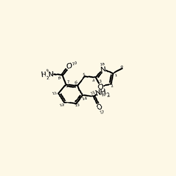 Cc1coc(Cc2c(C(N)=O)cccc2C(N)=O)n1